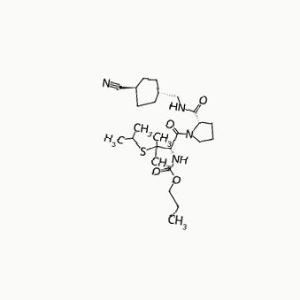 CCCOC(=O)N[C@@H](C(=O)N1CCC[C@H]1C(=O)NC[C@H]1CC[C@H](C#N)CC1)C(C)(C)SC(C)C